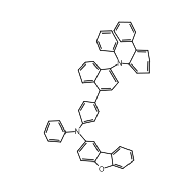 c1ccc(-c2ccccc2N(c2ccccc2)c2ccc(-c3ccc(N(c4ccccc4)c4ccc5oc6ccccc6c5c4)cc3)c3ccccc23)cc1